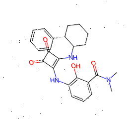 CN(C)C(=O)c1cccc(Nc2c(NC3CCCC[C@H]3c3ccccc3)c(=O)c2=O)c1O